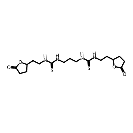 O=C1CCC(CCNC(=S)NCCCNC(=S)NCCC2CCC(=O)O2)O1